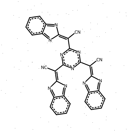 N#CC(=C1N=c2ccccc2=N1)c1nc(C(C#N)=C2N=c3ccccc3=N2)nc(C(C#N)=C2N=c3ccccc3=N2)n1